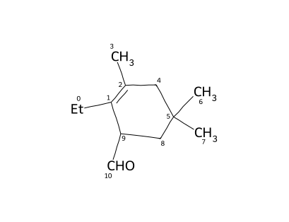 CCC1=C(C)CC(C)(C)CC1C=O